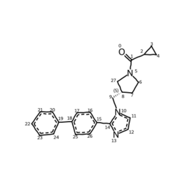 O=C(C1CC1)N1CC[C@H](Cn2ccnc2-c2ccc(-c3ccccc3)cc2)C1